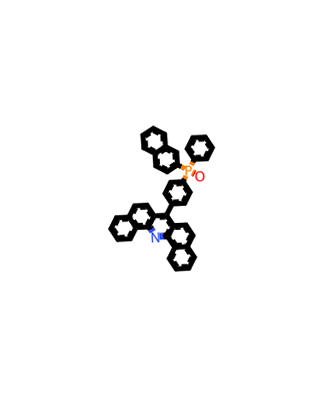 O=P(c1ccccc1)(c1ccc(-c2c3ccc4ccccc4c3nc3c2ccc2ccccc23)cc1)c1ccc2ccccc2c1